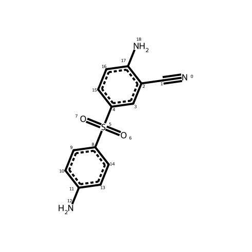 N#Cc1cc(S(=O)(=O)c2ccc(N)cc2)ccc1N